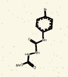 COC(=O)NNC(=O)Nc1ccc(Br)cc1